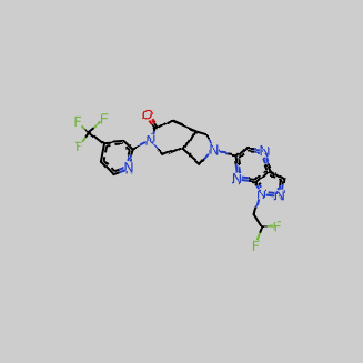 O=C1CC2CN(c3cnc4cnn(CC(F)F)c4n3)CC2CN1c1cc(C(F)(F)F)ccn1